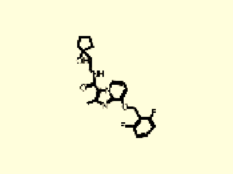 Cc1nc2c(OCc3c(F)cccc3F)cccn2c1C(=O)NCCC1(O)CCCC1